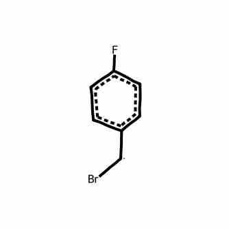 Fc1ccc([CH]Br)cc1